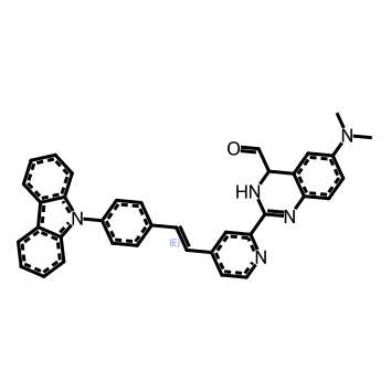 CN(C)c1ccc2c(c1)C(C=O)NC(c1cc(/C=C/c3ccc(-n4c5ccccc5c5ccccc54)cc3)ccn1)=N2